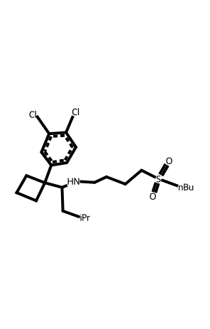 CCCCS(=O)(=O)CCCCNC(CC(C)C)C1(c2ccc(Cl)c(Cl)c2)CCC1